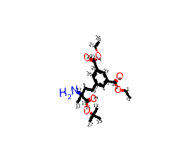 CCOC(=O)c1cc(CCC(C)(N)C(=O)OC(C)(C)C)cc(C(=O)OCC)c1